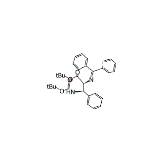 CC(C)(C)OC(=O)N[C@H](c1ccccc1)[C@H](N=C(c1ccccc1)c1ccccc1)C(=O)OC(C)(C)C